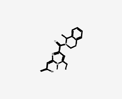 C=C(Br)/C=C1/N=C(C(=O)N2CCc3ccccc3C2C)C=C(CC)N1C